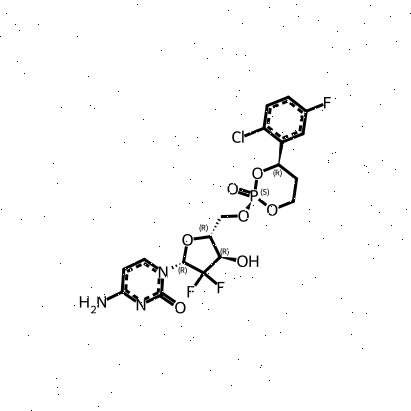 Nc1ccn([C@@H]2O[C@H](CO[P@]3(=O)OCC[C@H](c4cc(F)ccc4Cl)O3)[C@@H](O)C2(F)F)c(=O)n1